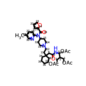 CC(=O)OCC(COC(C)=O)C(NC(=O)CC1(CCN2CCC(N(C(=O)c3ccco3)c3ccc(C)cn3)CC2)CCCCC1)OC(C)=O